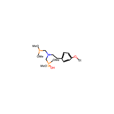 CCOc1ccc(CCN(CP(OC)OC)C[PH](O)(OC)OC)cc1